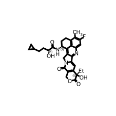 CC[C@@]1(O)C(=O)OCc2c1cc1n(c2=O)Cc2c-1nc1cc(F)c(C)c3c1c2[C@@H](NC(=O)[C@H](O)CCC1CC1)CC3